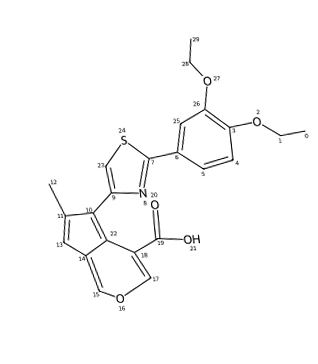 CCOc1ccc(-c2nc(-c3c(C)cc4cocc(C(=O)O)c3-4)cs2)cc1OCC